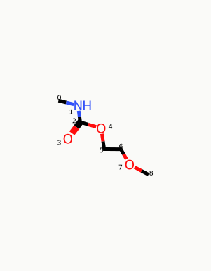 CNC(=O)OCCOC